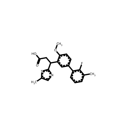 COc1ccc(-c2cccc(C)c2F)cc1C(CC(=O)O)c1ncc(C)s1